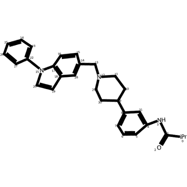 CC(C)C(=O)Nc1cccc(C2CCN(Cc3ccc4c(ccn4-c4ccccc4)c3)CC2)c1